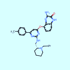 CC(C)CN1CCCC[C@@H]1CNc1nc(Oc2cccc3[nH]c(=O)c(N)nc23)cc(-c2ccc(C(F)(F)F)cc2)n1